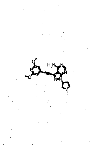 COc1cc(C#Cc2nn(C3CCNC3)c3ncnc(N)c23)cc(OC)n1